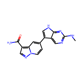 CNc1ncc2c(-c3ccn4ncc(C(N)=O)c4c3)c[nH]c2n1